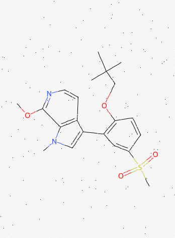 COc1nccc2c(-c3cc(S(C)(=O)=O)ccc3OCC(C)(C)C)cn(C)c12